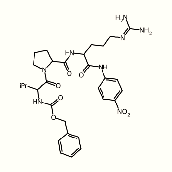 CC(C)C(NC(=O)OCc1ccccc1)C(=O)N1CCCC1C(=O)NC(CCCN=C(N)N)C(=O)Nc1ccc([N+](=O)[O-])cc1